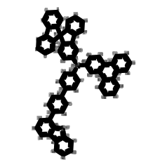 c1ccc2c(c1)-c1ccccc1C21c2ccccc2-c2cc(N(c3ccc(-c4ccc(-c5cccc6c5sc5ccccc56)cc4)cc3)c3ccc4c5ccccc5c5ccccc5c4c3)ccc21